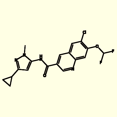 Cn1nc(C2CC2)cc1NC(=O)c1cnc2cc(OC(F)F)c(Cl)cc2c1